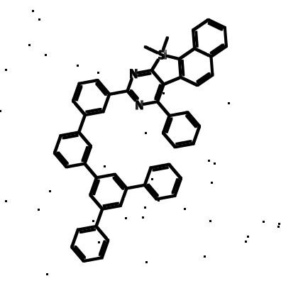 C[Si]1(C)c2nc(-c3cccc(-c4cccc(-c5cc(-c6ccccc6)cc(-c6ccccc6)c5)c4)c3)nc(-c3ccccc3)c2-c2ccc3ccccc3c21